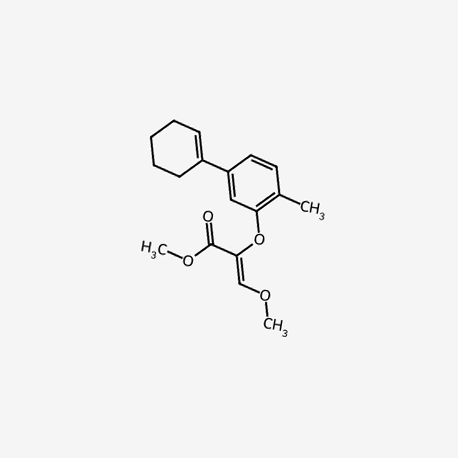 CO/C=C(\Oc1cc(C2=CCCCC2)ccc1C)C(=O)OC